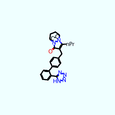 CCCc1c(Cc2ccc(-c3ccccc3-c3nnn[nH]3)cc2)c(=O)n2n1C1CCC2CC1